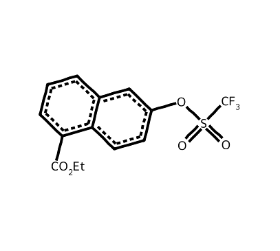 CCOC(=O)c1cccc2cc(OS(=O)(=O)C(F)(F)F)ccc12